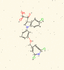 O=C(O)C(=O)c1cn(-c2cccc(OCc3cc(Cl)nc(Cl)c3)c2)c2ccc(Cl)cc12